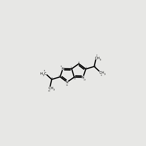 CC(C)C1=CC2=NC(C(C)C)=NC2=N1